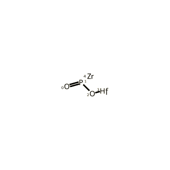 O=P[O][Hf].[Zr]